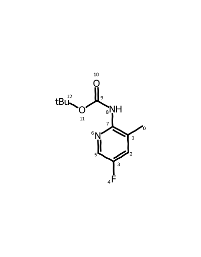 Cc1cc(F)cnc1NC(=O)OC(C)(C)C